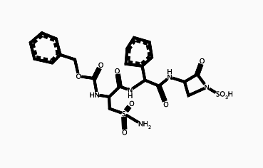 NS(=O)(=O)CC(NC(=O)OCc1ccccc1)C(=O)NC(C(=O)NC1CN(S(=O)(=O)O)C1=O)c1ccccc1